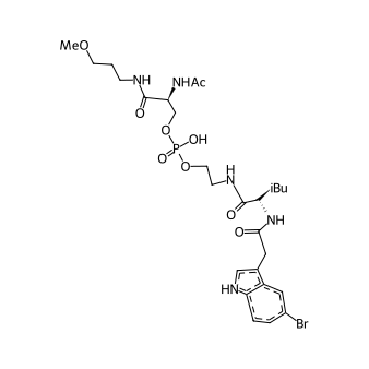 CC[C@H](C)[C@H](NC(=O)Cc1c[nH]c2ccc(Br)cc12)C(=O)NCCOP(=O)(O)OC[C@H](NC(C)=O)C(=O)NCCCOC